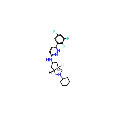 Fc1cc(F)c(F)c(-c2ccc(NC3C[C@@H]4CN(C5CCCCC5)C[C@@H]4C3)nn2)c1